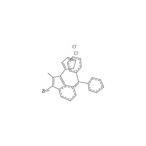 CC1=[C]([Zr+2])c2cccc(=C(c3ccccc3)c3ccccc3)c2=C1C1=CC=CC1.[Cl-].[Cl-]